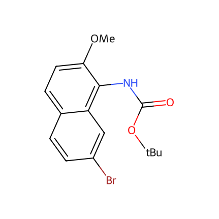 COc1ccc2ccc(Br)cc2c1NC(=O)OC(C)(C)C